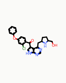 O=C(c1ccc(Oc2ccccc2)cc1Cl)c1c[nH]c2ncnc(CC3CCC(CO)N3)c12